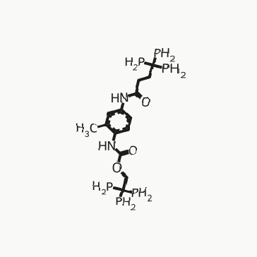 Cc1cc(NC(=O)CCC(P)(P)P)ccc1NC(=O)OCC(P)(P)P